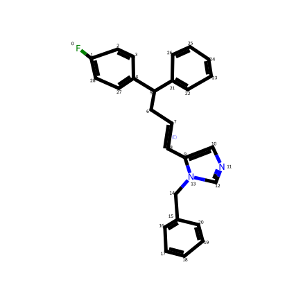 Fc1ccc(C(C/C=C/c2cncn2Cc2ccccc2)c2ccccc2)cc1